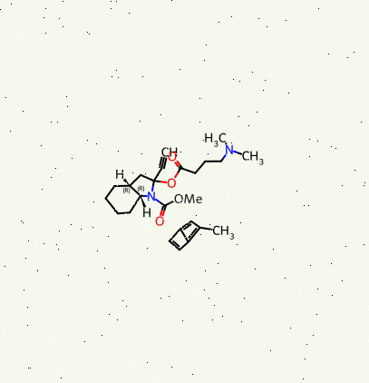 C#CC1(OC(=O)CCCN(C)C)C[C@H]2CCCC[C@H]2N1C(=O)OC.Cc1cc2ccc1-2